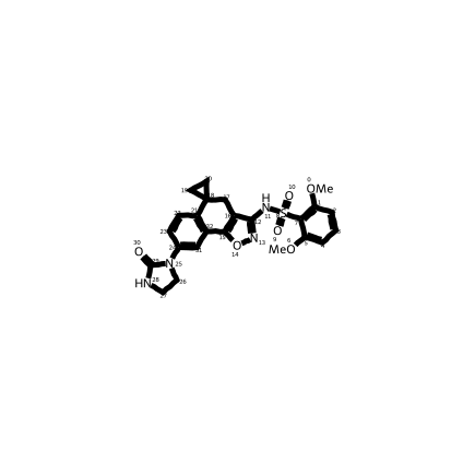 COc1cccc(OC)c1S(=O)(=O)Nc1noc2c1CC1(CC1)c1ccc(N3CCNC3=O)cc1-2